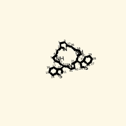 C1=Cc2cc3ccc([nH]3)c(-c3csc4ccccc34)c3nc(c(-c4csc5ccccc45)c4ccc(cc1n2)[nH]4)C=C3